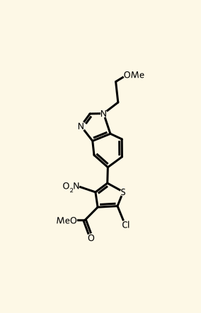 COCCn1cnc2cc(-c3sc(Cl)c(C(=O)OC)c3[N+](=O)[O-])ccc21